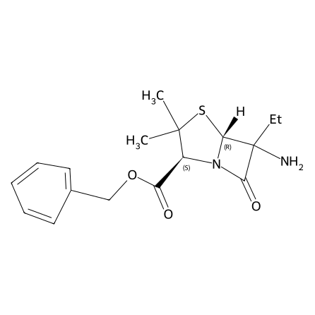 CCC1(N)C(=O)N2[C@@H](C(=O)OCc3ccccc3)C(C)(C)S[C@@H]21